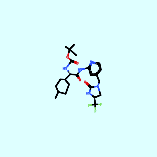 CC1CCC([C@H](NC(=O)OC(C)(C)C)C(=O)Nc2cc(CN3C[C@@H](C(F)(F)F)NC3=O)ccn2)CC1